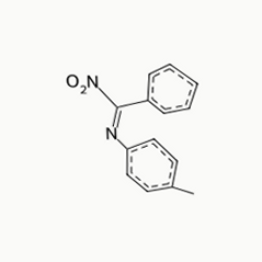 Cc1ccc(N=C(c2ccccc2)[N+](=O)[O-])cc1